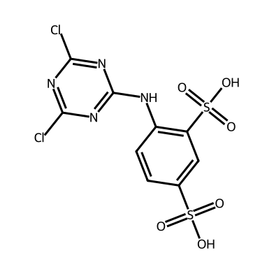 O=S(=O)(O)c1ccc(Nc2nc(Cl)nc(Cl)n2)c(S(=O)(=O)O)c1